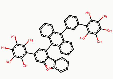 Oc1c(O)c(O)c(-c2cccc(-c3c4ccccc4c(-c4cc(-c5c(O)c(O)c(O)c(O)c5O)cc5oc6ccccc6c45)c4ccccc34)c2)c(O)c1O